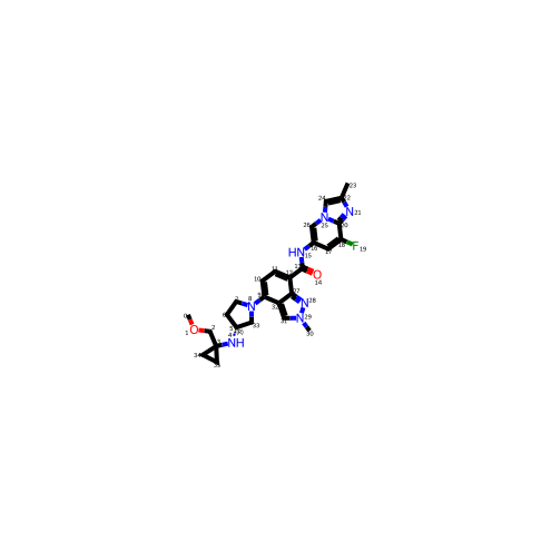 COCC1(N[C@@H]2CCN(c3ccc(C(=O)Nc4cc(F)c5nc(C)cn5c4)c4nn(C)cc34)C2)CC1